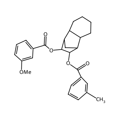 COc1cccc(C(=O)OC2C3CC(C4CCCCC43)C2OC(=O)c2cccc(C)c2)c1